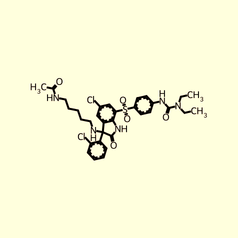 CCN(CC)C(=O)Nc1ccc(S(=O)(=O)c2cc(Cl)cc3c2NC(=O)C3(NCCCCCNC(C)=O)c2ccccc2Cl)cc1